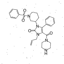 C=CCn1c(C(=O)N2CCNCC2)c(-c2ccccc2)n(C2CCCN(S(=O)(=O)c3ccccc3)C2)c1=O